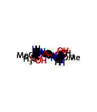 COC(=O)N[C@H](C(=O)N1[C@H](c2nc3cc(-c4cc5ccc4/C=C\c4ccc(c(-c6ccc7[nH]c([C@@H]8C[C@@H]9CCCC[C@@H]9N8C(=O)[C@@H](NC(=O)OC)[C@@H](C)CO)nc7c6)c4)CC5)ccc3[nH]2)C[C@@H]2CCCC[C@@H]21)[C@@H](C)CO